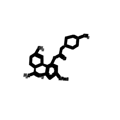 C=C(C)[C@@H]1CCC(C)=C[C@H]1c1c(O)cc(CCCCC)cc1OC(=O)CN1CCN(C)CC1